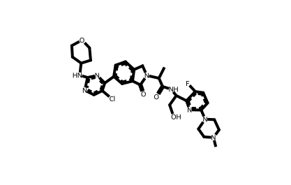 CC(C(=O)NC(CO)c1nc(N2CCN(C)CC2)ccc1F)N1Cc2ccc(-c3nc(NC4CCOCC4)ncc3Cl)cc2C1=O